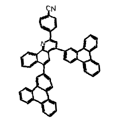 N#Cc1ccc(-c2cc(-c3ccc4c5ccccc5c5ccccc5c4c3)c3cc(-c4ccc5c6ccccc6c6ccccc6c5c4)c4ccccc4c3n2)cc1